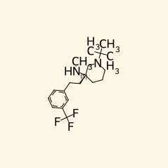 CN[C@@]1(CCc2cccc(C(F)(F)F)c2)CCCN(C(C)(C)C)C1